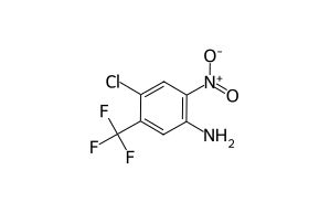 Nc1cc(C(F)(F)F)c(Cl)cc1[N+](=O)[O-]